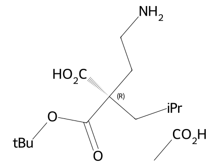 CC(=O)O.CC(C)C[C@@](CCN)(C(=O)O)C(=O)OC(C)(C)C